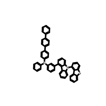 c1ccc(-c2ccc(-c3ccc(N(c4ccccc4)c4cccc(-c5cccc6c5c5ccccc5n6-c5cccc6sc7ccccc7c56)c4)cc3)cc2)cc1